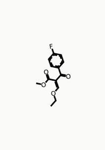 CCO/C=C(\C(=O)OC)C(=O)c1ccc(F)cc1